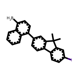 Bc1ccc(-c2ccc3c(c2)C(C)(C)c2cc(I)ccc2-3)c2ccccc12